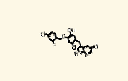 Oc1cc(Cc2c[nH]c3ncc(Cl)cc23)c(Cl)cc1OCc1ccc(Cl)cc1F